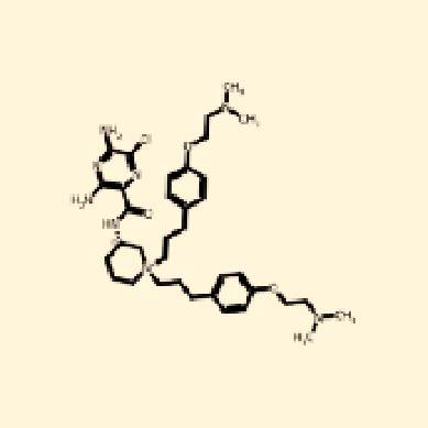 CN(C)CCOc1ccc(CCC[N+]2(CCCc3ccc(OCCN(C)C)cc3)CCC[C@H](NC(=O)c3nc(Cl)c(N)nc3N)C2)cc1